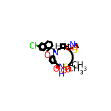 C[C@@H]1[C@@H](C)CCC[C@](O)(c2nccs2)[C@@H]2CC[C@H]2CN2C[C@@]3(CCCc4cc(Cl)ccc43)COc3ccc(cc32)C(=O)NS1(=O)=O